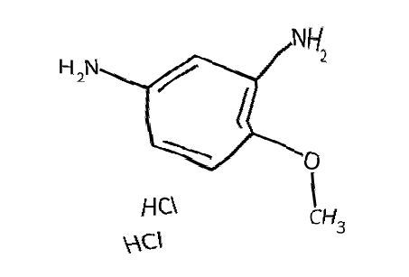 COc1ccc(N)cc1N.Cl.Cl